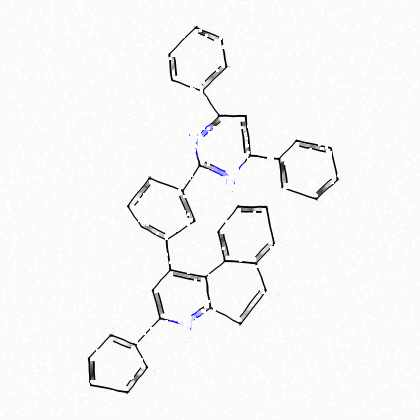 c1ccc(-c2cc(-c3ccccc3)nc(-c3cccc(-c4cc(-c5ccccc5)nc5ccc6ccccc6c45)c3)n2)cc1